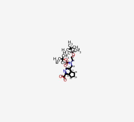 CC(C)(C)OC(=O)N(CCO[Si](C)(C)C(C)(C)C)Cc1cnc(C(=O)[O-])c2c1CCC2.[Li+]